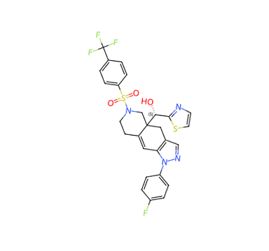 O=S(=O)(c1ccc(C(F)(F)F)cc1)N1CCC2=Cc3c(cnn3-c3ccc(F)cc3)CC2([C@H](O)c2nccs2)C1